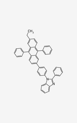 CCc1ccc2c(-c3ccccc3)c3cc(-c4ccc(-n5c(-c6ccccc6)nc6ccccc65)cc4)ccc3c(-c3ccccc3)c2c1